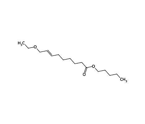 CCCCCOC(=O)CCCCC/C=C/COCC